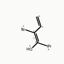 C=C/C(Br)=C(/O)C(C)C